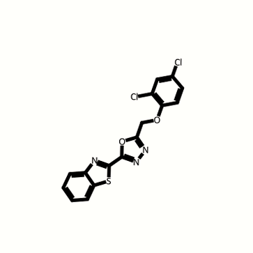 Clc1ccc(OCc2nnc(-c3nc4ccccc4s3)o2)c(Cl)c1